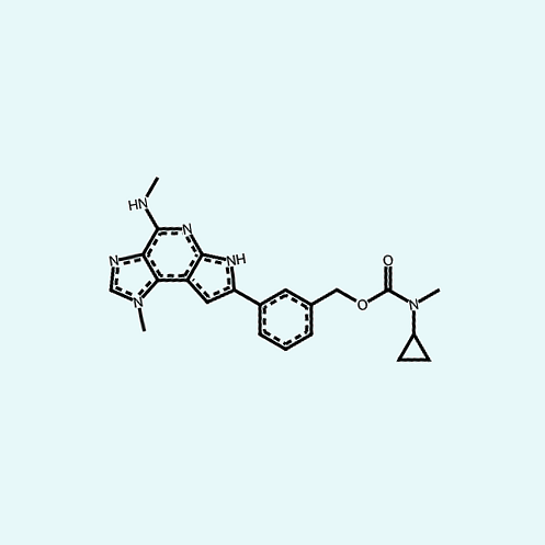 CNc1nc2[nH]c(-c3cccc(COC(=O)N(C)C4CC4)c3)cc2c2c1ncn2C